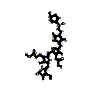 C=CC1=C(C)C(=O)N/C1=C\C1=NC(=C\c2[nH]c(/C=C3\NC(=O)C(CC[S+]([O-])c4ccc(C)cc4)=C3C)c(C)c2CC(=O)OC)/C(CCC(=O)OC)=C1C